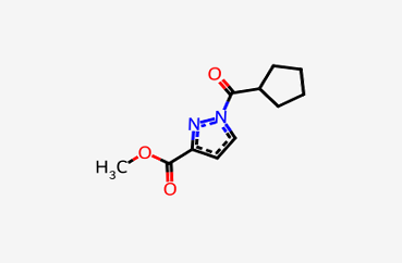 COC(=O)c1ccn(C(=O)C2CCCC2)n1